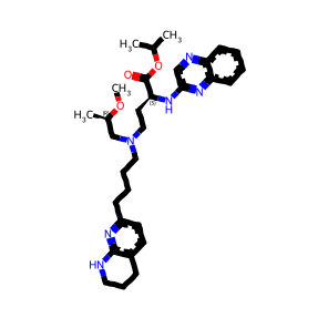 CO[C@H](C)CN(CCCCc1ccc2c(n1)NCCC2)CC[C@H](Nc1cnc2ccccc2n1)C(=O)OC(C)C